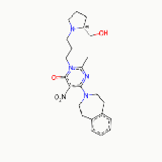 Cc1nc(N2CCc3ccccc3CC2)c([N+](=O)[O-])c(=O)n1CCCN1CCC[C@@H]1CO